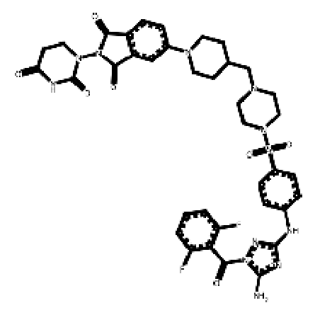 Nc1nc(Nc2ccc(S(=O)(=O)N3CCN(CC4CCN(c5ccc6c(c5)C(=O)N(N5CCC(=O)NC5=O)C6=O)CC4)CC3)cc2)nn1C(=O)c1c(F)cccc1F